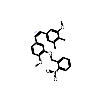 COc1ccc(/C=C\c2cc(C)c(C)c(OC)c2)cc1OCc1ccccc1[N+](=O)[O-]